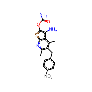 Cc1nc2sc(OC(N)=O)c(N)c2c(C)c1Cc1ccc([N+](=O)[O-])cc1